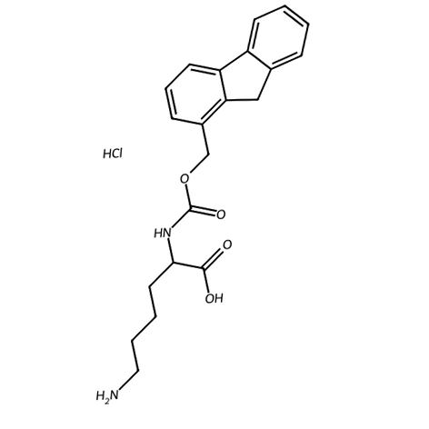 Cl.NCCCCC(NC(=O)OCc1cccc2c1Cc1ccccc1-2)C(=O)O